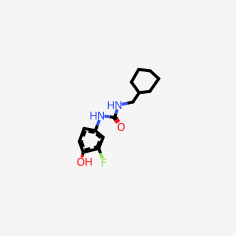 O=C(NCC1CCCCC1)Nc1ccc(O)c(F)c1